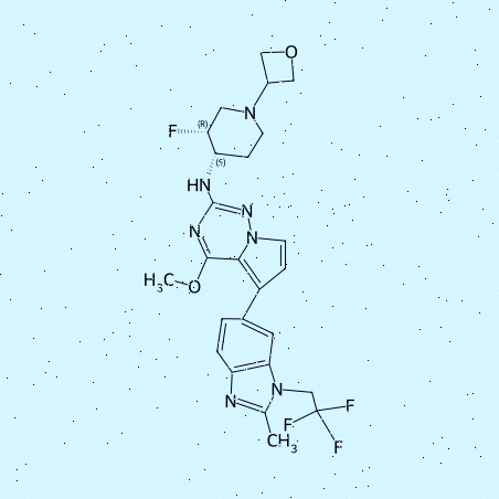 COc1nc(N[C@H]2CCN(C3COC3)C[C@H]2F)nn2ccc(-c3ccc4nc(C)n(CC(F)(F)F)c4c3)c12